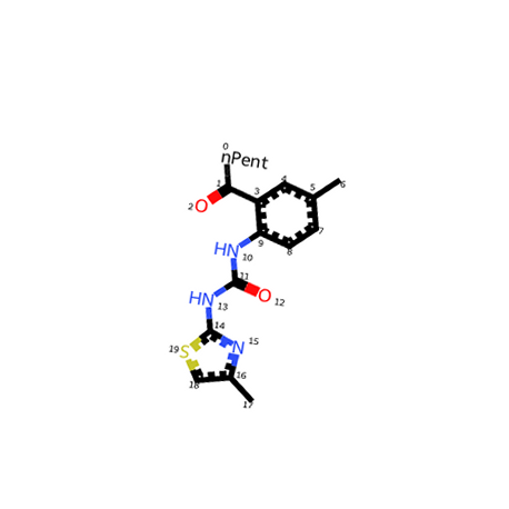 CCCCCC(=O)c1cc(C)ccc1NC(=O)Nc1nc(C)cs1